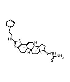 C[C@]12CCc3nc(NCCc4ccccc4)sc3C1=CC[C@@H]1[C@@H]2CC[C@]2(C)/C(=N/NC(N)=S)CC[C@@H]12